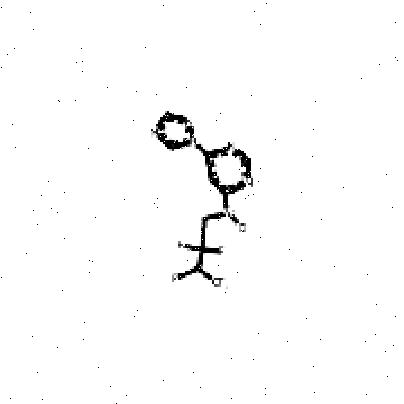 [O-][S+](CC(F)(F)C(F)C(F)(F)F)c1cc(-n2cncn2)ncn1